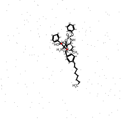 CCCCCCCCc1ccc(CCC(N)(CO)COP(=O)(N[C@@H](CC(C)C)C(=O)OCc2ccccc2)Oc2ccccc2)cc1